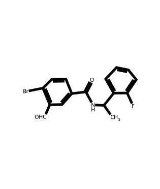 CC(NC(=O)c1ccc(Br)c(C=O)c1)c1ccccc1F